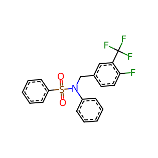 O=S(=O)(c1ccccc1)N(Cc1ccc(F)c(C(F)(F)F)c1)c1ccccc1